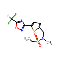 CCS(=O)(=O)N(C)Cc1ccc(-c2noc(C(F)(F)F)n2)s1